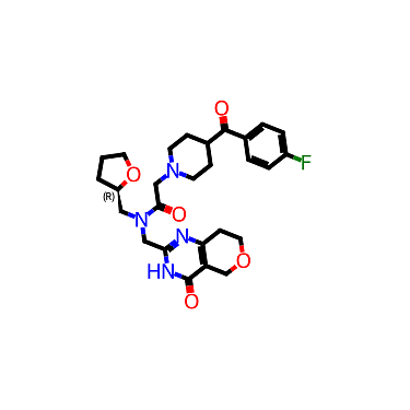 O=C(c1ccc(F)cc1)C1CCN(CC(=O)N(Cc2nc3c(c(=O)[nH]2)COCC3)C[C@H]2CCCO2)CC1